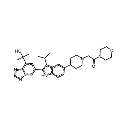 CC(C)c1c(-c2cc(C(C)(C)O)c3ncnn3c2)[nH]c2ccc(C3CCN(CC(=O)N4CCOCC4)CC3)cc12